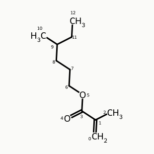 C=C(C)C(=O)OCCCC(C)CC